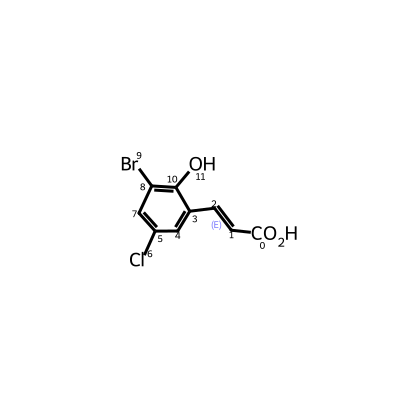 O=C(O)/C=C/c1cc(Cl)cc(Br)c1O